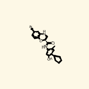 Cc1cc(C2CCCC2)c(O)cc1NC(=O)[C@@H]1CNc2cc(C#N)ccc2O1